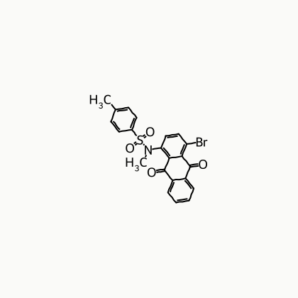 Cc1ccc(S(=O)(=O)N(C)c2ccc(Br)c3c2C(=O)c2ccccc2C3=O)cc1